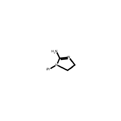 CC(C)N1CCN=C1N